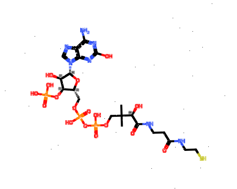 CC(C)(COP(=O)(O)OP(=O)(O)OC[C@H]1O[C@@H](n2cnc3c(N)nc(O)nc32)[C@H](O)[C@@H]1OP(=O)(O)O)[C@@H](O)C(=O)NCCC(=O)NCCS